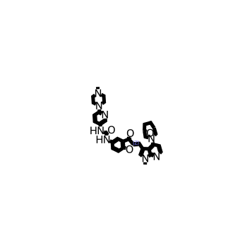 CN1CCN(c2ccc(NC(=O)Nc3ccc4c(c3)C(=O)/C(=C/c3cn(C)c5nccc(N6CC7CCC(C6)O7)c35)O4)cn2)CC1